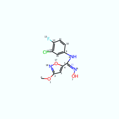 COc1cc(/C(=N\O)Nc2ccc(F)c(Cl)c2)on1